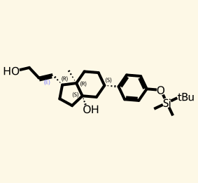 CC(C)(C)[Si](C)(C)Oc1ccc([C@H]2CC[C@]3(C)[C@@H](/C=C/CO)CC[C@]3(O)C2)cc1